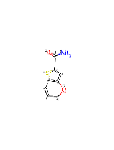 NC(=O)c1cc2c(s1)C=CCO2